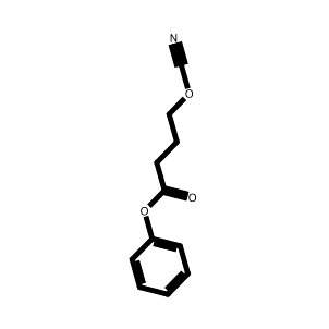 N#COCCCC(=O)Oc1ccccc1